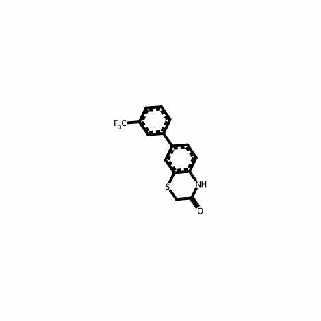 O=C1CSc2cc(-c3cccc(C(F)(F)F)c3)ccc2N1